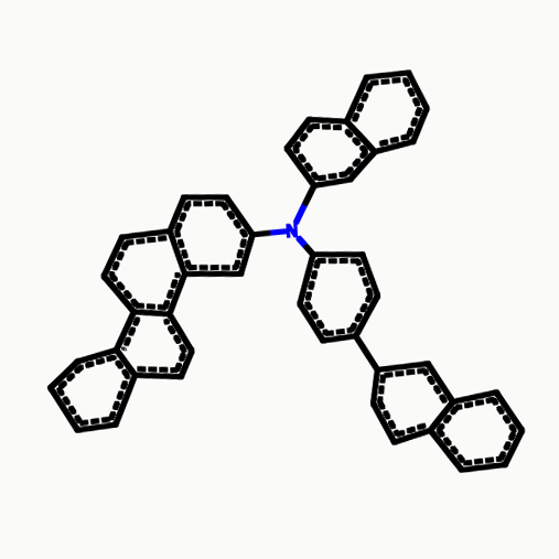 c1ccc2cc(-c3ccc(N(c4ccc5ccccc5c4)c4ccc5ccc6c7ccccc7ccc6c5c4)cc3)ccc2c1